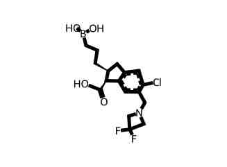 O=C(O)[C@@H]1c2cc(CN3CC(F)(F)C3)c(Cl)cc2C[C@@H]1CCCB(O)O